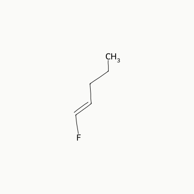 CCCC=CF